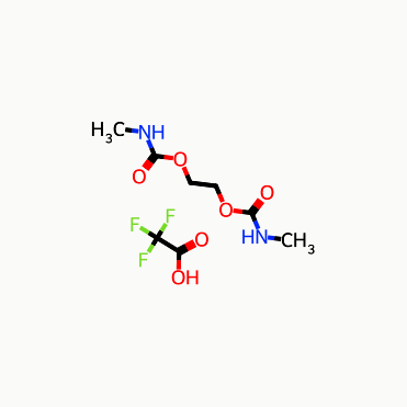 CNC(=O)OCCOC(=O)NC.O=C(O)C(F)(F)F